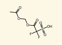 CC(=O)OCOC(=O)C(F)(F)S(=O)(=O)O